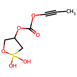 CC#COC(=O)OC1COS(O)(O)C1